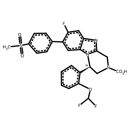 CS(=O)(=O)c1ccc(-c2cc3c(cc2F)nc2n3[C@H](c3ccccc3OC(F)F)CN(C(=O)O)C2)cc1